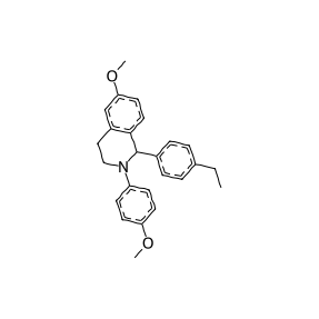 CCc1ccc(C2c3ccc(OC)cc3CCN2c2ccc(OC)cc2)cc1